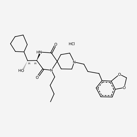 CCCCN1C(=O)[C@@H]([C@H](O)C2CCCCC2)NC(=O)C12CCN(CCCc1cccc3c1OCO3)CC2.Cl